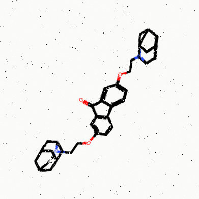 O=C1c2cc(OCCN3CC4CC5CC(C4)CC3C5)ccc2-c2ccc(OCCN3CC4CC5CC(C4)CC3C5)cc21